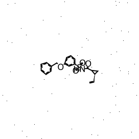 C=C[C@@H]1CC1C(=O)NS(=O)(=O)c1cccc(OCc2ccccc2)c1